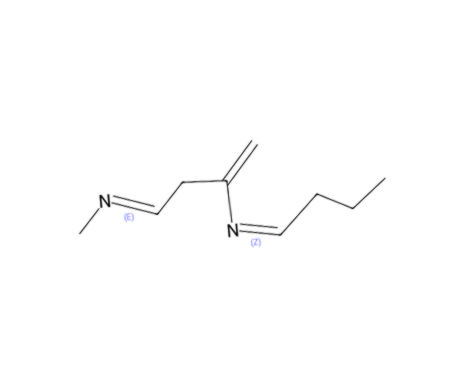 C=C(C/C=N/C)/N=C\CCC